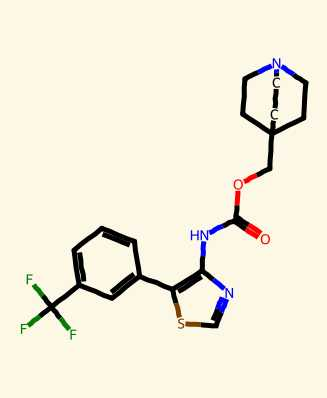 O=C(Nc1ncsc1-c1cccc(C(F)(F)F)c1)OCC12CCN(CC1)CC2